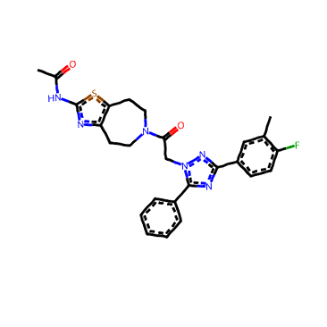 CC(=O)Nc1nc2c(s1)CCN(C(=O)Cn1nc(-c3ccc(F)c(C)c3)nc1-c1ccccc1)CC2